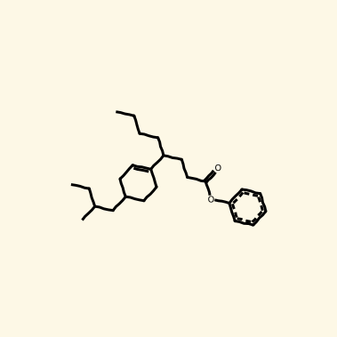 CCCCC(CCC(=O)Oc1ccccc1)C1=CCC(CC(C)CC)CC1